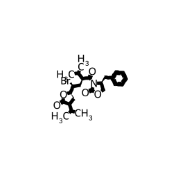 CC(C)C1C[C@@H]([C@@H](Br)C[C@H](C(=O)N2C(=O)OC[C@@H]2Cc2ccccc2)C(C)C)OC1=O